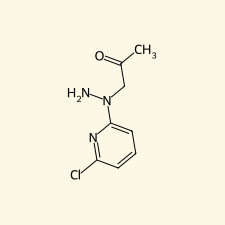 CC(=O)CN(N)c1cccc(Cl)n1